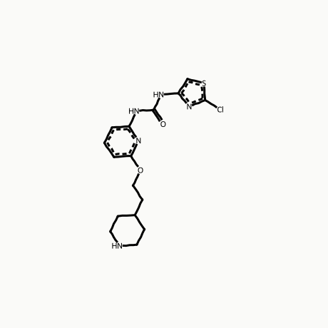 O=C(Nc1cccc(OCCC2CCNCC2)n1)Nc1csc(Cl)n1